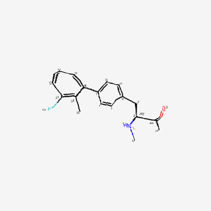 CN[C@@H](Cc1ccc(-c2cccc(F)c2C)cc1)C(C)=O